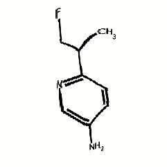 CC(CF)c1ccc(N)cn1